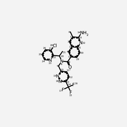 Cc1cc2cc(C(=O)N(Cc3ccc(C(F)(F)F)nn3)C(C)c3ncccc3Cl)ccc2nc1N